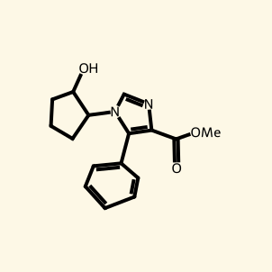 COC(=O)c1ncn(C2CCCC2O)c1-c1ccccc1